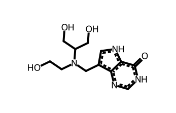 O=c1[nH]cnc2c(CN(CCO)C(CO)CO)c[nH]c12